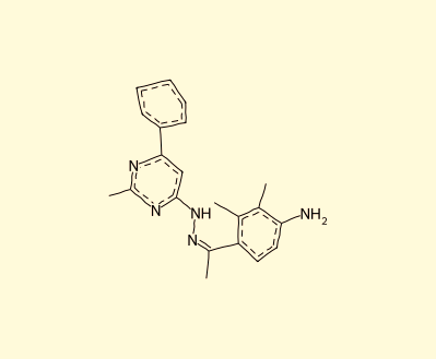 CC(=NNc1cc(-c2ccccc2)nc(C)n1)c1ccc(N)c(C)c1C